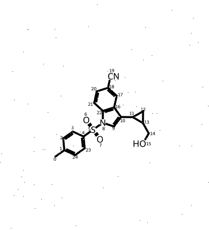 Cc1ccc(S(=O)(=O)n2cc(C3CC3CO)c3cc(C#N)ccc32)cc1